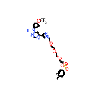 Cc1ccc(S(=O)(=O)OCCOCCOCCOCCn2cc(-c3cc(Nc4ccc(OC(F)(F)F)cc4)ncn3)cn2)cc1